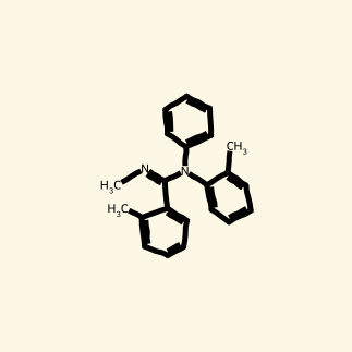 C/N=C(\c1ccccc1C)N(c1ccccc1)c1ccccc1C